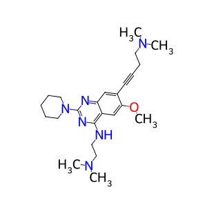 COc1cc2c(NCCN(C)C)nc(N3CCCCC3)nc2cc1C#CCCN(C)C